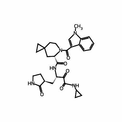 Cn1cc(C(=O)N2CCC3(CC3)C[C@H]2C(=O)N[C@@H](C[C@@H]2CCNC2=O)C(=O)C(=O)NC2CC2)c2ccccc21